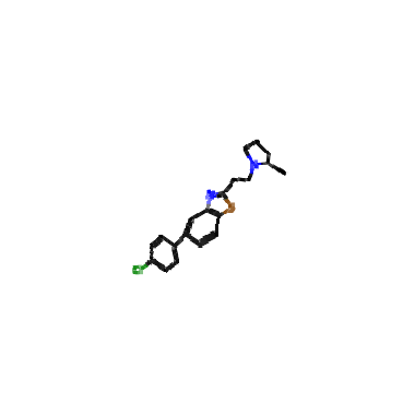 C[C@@H]1CCCN1CCc1nc2cc(-c3ccc(Cl)cc3)ccc2s1